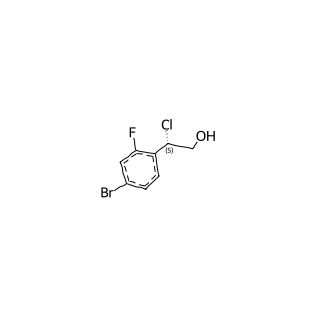 OC[C@@H](Cl)c1ccc(Br)cc1F